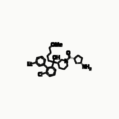 CCc1cccc(-c2c(Cl)cccc2C(O)(CCCCOC)[C@@H]2CCCN(C(=O)[C@@H]3CC[C@H](N)C3)C2)c1